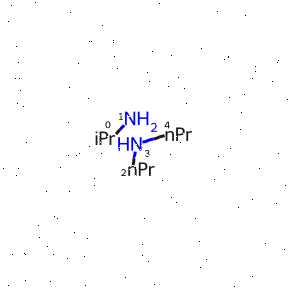 CC(C)N.CCCNCCC